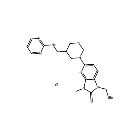 Cn1c2c(n(CC(C)(C)C)c1=O)=CC=C(N1CCCC(CNc3ncccn3)C1)[N+]=2.[Cl-]